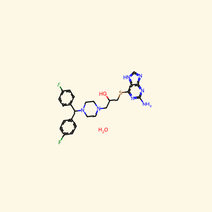 Nc1nc(SCC(O)CN2CCN(C(c3ccc(F)cc3)c3ccc(F)cc3)CC2)c2[nH]cnc2n1.O